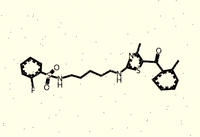 Cc1ccccc1C(=O)c1sc(NCCCCCNS(=O)(=O)c2ccccc2F)nc1C